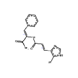 CC(C)c1[nH]cnc1/C=C/C(=O)N/C(=C\c1ccccc1)C(N)=O